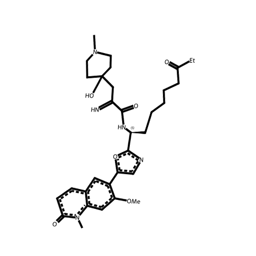 CCC(=O)CCCCC[C@H](NC(=O)C(=N)CC1(O)CCN(C)CC1)c1ncc(-c2cc3ccc(=O)n(C)c3cc2OC)o1